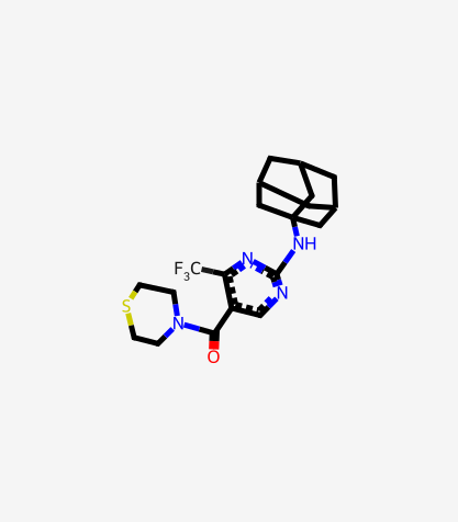 O=C(c1cnc(NC23CC4CC(CC(C4)C2)C3)nc1C(F)(F)F)N1CCSCC1